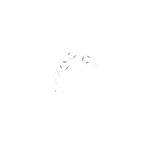 CC1(C)CN(C2CCN(c3ccc(-n4cnc(Nc5cnc(C#N)cn5)c4)cc3)C2)C1